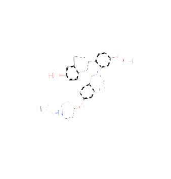 CCN1CCC(Oc2ccc(CN(CC)c3cc(OC)ccc3C3CCc4cc(O)ccc4C3)cc2)CC1